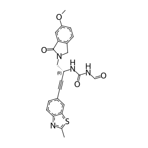 COc1ccc2c(c1)C(=O)N(C[C@@H](C#Cc1ccc3nc(C)sc3c1)NC(=O)NC=O)C2